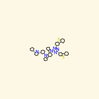 c1ccc(-c2cccc(-c3cccc(-n4c5ccccc5c5ccc6c(c7ccccc7n6-c6nc(-c7ccc8sc9ccccc9c8c7)nc(-c7ccc8sc9ccccc9c8c7)n6)c54)c3)n2)cc1